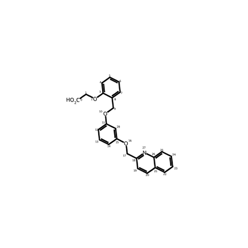 O=C(O)COc1ccccc1COc1cccc(OCc2ccc3ccccc3n2)c1